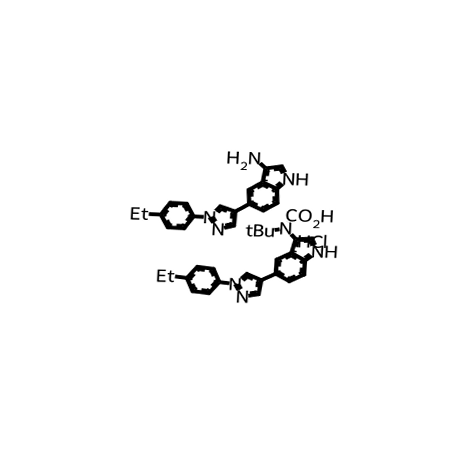 CCc1ccc(-n2cc(-c3ccc4[nH]cc(N(C(=O)O)C(C)(C)C)c4c3)cn2)cc1.CCc1ccc(-n2cc(-c3ccc4[nH]cc(N)c4c3)cn2)cc1.Cl